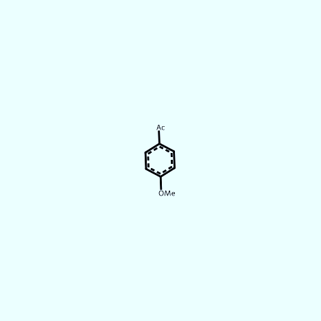 [CH]C(=O)c1ccc(OC)cc1